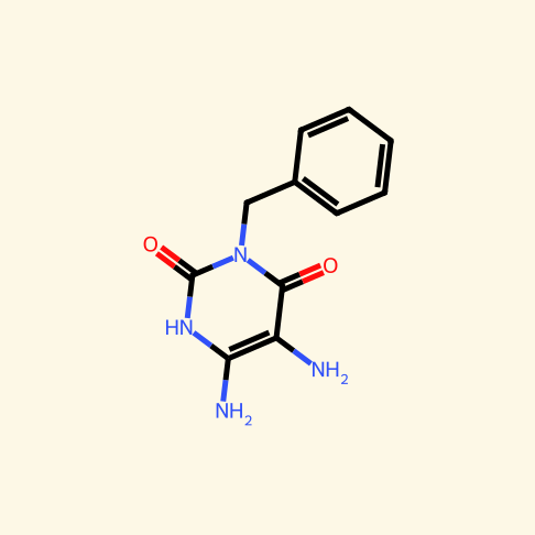 Nc1[nH]c(=O)n(Cc2ccccc2)c(=O)c1N